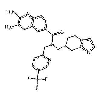 Cc1cc2cc(C(=O)N(Cc3ccc(C(F)(F)F)cn3)CC3CCn4ccnc4C3)ccc2nc1N